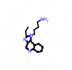 CCc1nc2cnc3ccccc3c2n1CCCCN